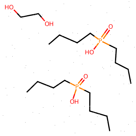 CCCCP(=O)(O)CCCC.CCCCP(=O)(O)CCCC.OCCO